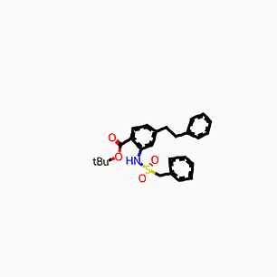 CC(C)(C)OC(=O)c1ccc(CCc2ccccc2)cc1NS(=O)(=O)Cc1ccccc1